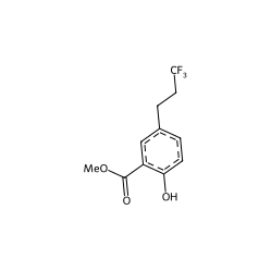 COC(=O)c1cc(CCC(F)(F)F)ccc1O